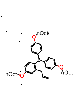 C=CCc1cc(OCCCCCCCC)ccc1B(c1ccc(OCCCCCCCC)cc1)c1ccc(OCCCCCCCC)cc1